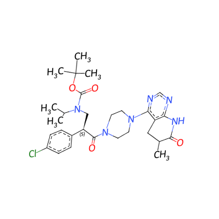 CC1Cc2c(ncnc2N2CCN(C(=O)[C@H](CN(C(=O)OC(C)(C)C)C(C)C)c3ccc(Cl)cc3)CC2)NC1=O